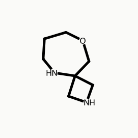 C1CNC2(CNC2)COC1